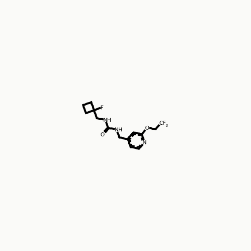 O=C(NCc1ccnc(OCC(F)(F)F)c1)NCC1(F)CCC1